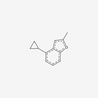 Cc1cc2c(C3CC3)cccc2o1